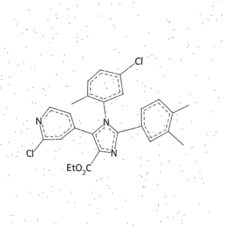 CCOC(=O)c1nc(-c2ccc(C)c(C)c2)n(-c2cc(Cl)ccc2C)c1-c1ccnc(Cl)c1